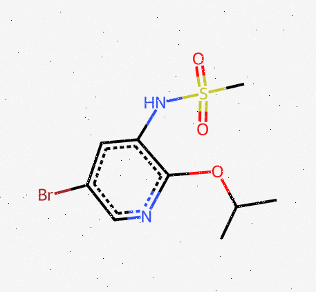 CC(C)Oc1ncc(Br)cc1NS(C)(=O)=O